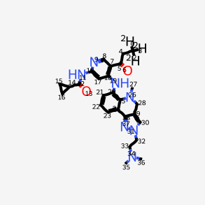 [2H]C([2H])([2H])CC(=O)c1cnc(NC(=O)C2CC2)cc1Nc1cccc2c1N(C)Cc1cn(CCN(C)C)nc1-2